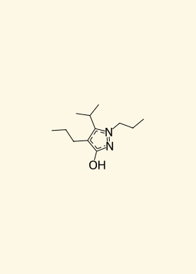 CCCc1c(O)nn(CCC)c1C(C)C